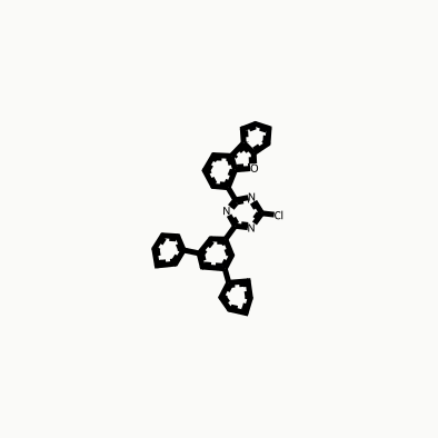 Clc1nc(-c2cc(-c3ccccc3)cc(-c3ccccc3)c2)nc(-c2cccc3c2oc2ccccc23)n1